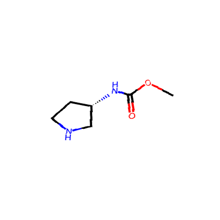 COC(=O)N[C@H]1CCNC1